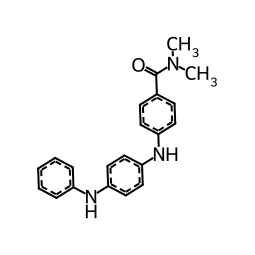 CN(C)C(=O)c1ccc(Nc2ccc(Nc3ccccc3)cc2)cc1